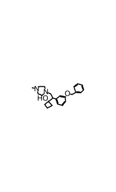 CN1CCN(CC(c2cccc(OCc3ccccc3)c2)C2(O)CCC2)CC1